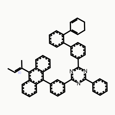 C/C=C(\C)c1c2ccccc2c(-c2cccc(-c3nc(-c4ccccc4)nc(-c4cccc(-c5ccccc5C5=CCCC=C5)c4)n3)c2)c2ccccc12